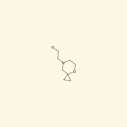 [O]CCN1CCOC2(CC2)C1